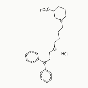 Cl.O=C(O)C1CCCN(CCCCOCCN(c2ccccc2)c2ccccc2)C1